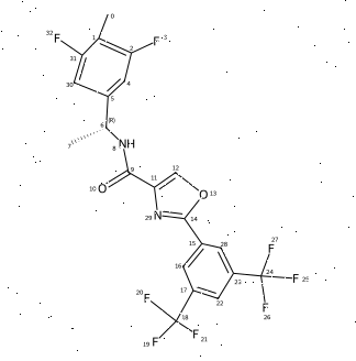 Cc1c(F)cc([C@@H](C)NC(=O)c2coc(-c3cc(C(F)(F)F)cc(C(F)(F)F)c3)n2)cc1F